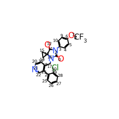 O=C1N(c2ccc(OC(F)(F)F)cc2)C(=O)C2(CC2)N1Cc1ccncc1-c1ccccc1Cl